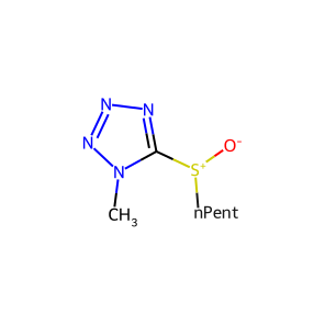 CCCCC[S+]([O-])c1nnnn1C